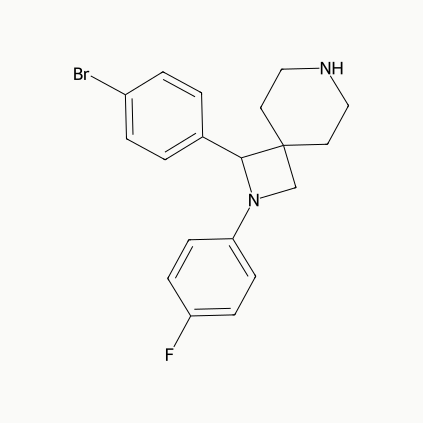 Fc1ccc(N2CC3(CCNCC3)C2c2ccc(Br)cc2)cc1